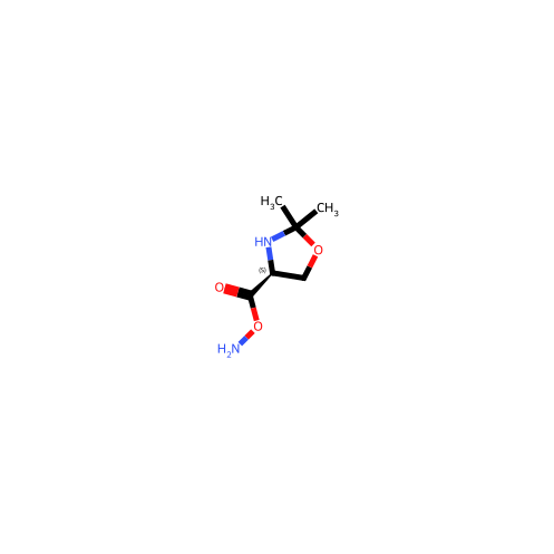 CC1(C)N[C@H](C(=O)ON)CO1